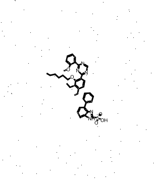 CCCCCCOc1c(-c2ncnc(-c3ccccc3OC)n2)ccc(CC)c1CC.O=S(=O)(O)c1nc2c(-c3ccccc3)cccc2[nH]1